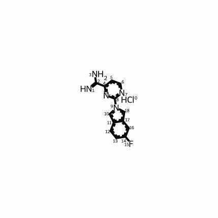 Cl.N=C(N)c1ccnc(-n2cc3ccc(F)cc3c2)n1